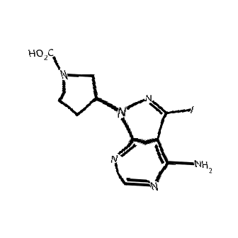 Nc1ncnc2c1c(I)nn2C1CCN(C(=O)O)C1